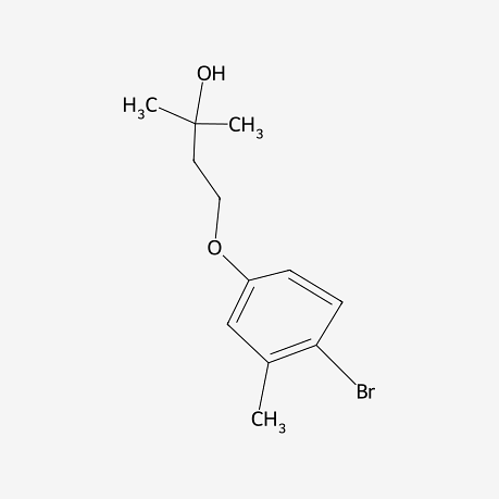 Cc1cc(OCCC(C)(C)O)ccc1Br